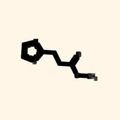 COC(=O)CCc1nccs1